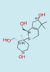 CC1(C)C2=C(C[C@H]1O)[C@H](CO)[C@@H]([C@@]1(C)CC[C@H](O)C[C@@H]1CO)CC2